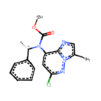 CC(C)c1cnc2c(N(C(=O)OC(C)(C)C)[C@@H](C)c3ccccc3)cc(Cl)nn12